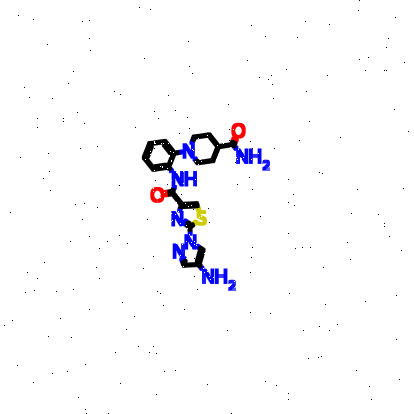 NC(=O)C1CCN(c2ccccc2NC(=O)c2csc(-n3cc(N)cn3)n2)CC1